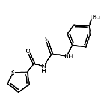 CC(C)(C)c1ccc(NC(=S)NC(=O)c2cccs2)cc1